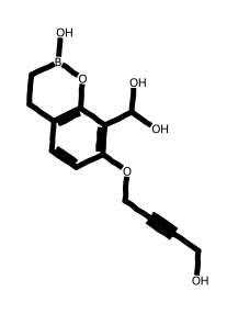 OCC#CCOc1ccc2c(c1C(O)O)OB(O)CC2